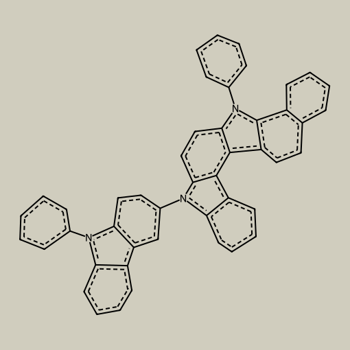 c1ccc(-n2c3ccccc3c3cc(-n4c5ccccc5c5c6c7ccc8ccccc8c7n(-c7ccccc7)c6ccc54)ccc32)cc1